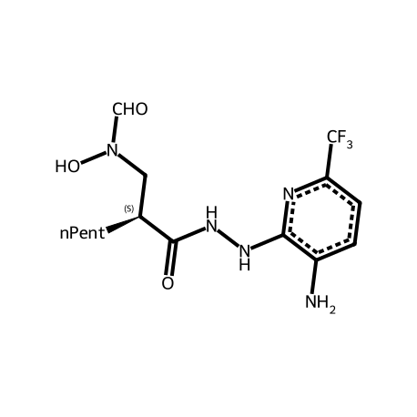 CCCCC[C@@H](CN(O)C=O)C(=O)NNc1nc(C(F)(F)F)ccc1N